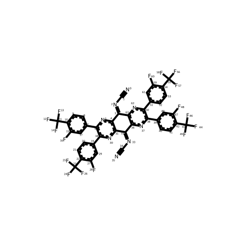 N#CN=C1c2nc(-c3ccc(C(F)(F)F)c(F)c3)c(-c3ccc(C(F)(F)F)c(F)c3)nc2C(=NC#N)c2nc(-c3ccc(C(F)(F)F)c(F)c3)c(-c3ccc(C(F)(F)F)c(F)c3)nc21